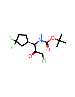 CC(C)(C)OC(=O)NC(C(=O)CCl)[C@@H]1CCC(F)(F)C1